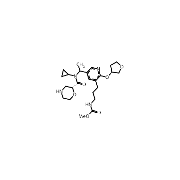 COC(=O)NCCCc1cc(C(C)N(C(=O)[C@H]2CNCCO2)C2CC2)cnc1O[C@H]1CCOC1